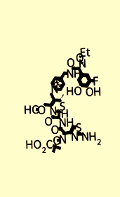 CCO/N=C(\C(=O)NCC12CC[N+](CC3=C(COO)N4C(=O)[C@@H](NC(=O)/C(=N\OC(C)(C)C(=O)O)c5csc(N)n5)[C@H]4S[C@H]3C)(CC1)CC2)c1cc(O)c(O)c(F)c1